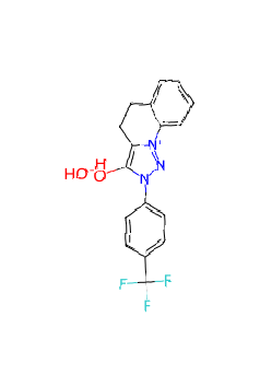 Oc1c2[n+](nn1-c1ccc(C(F)(F)F)cc1)-c1ccccc1CC2.[OH-]